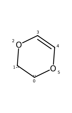 [C]1[C]OC=CO1